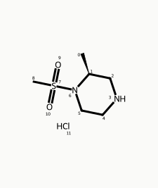 C[C@H]1CNCCN1S(C)(=O)=O.Cl